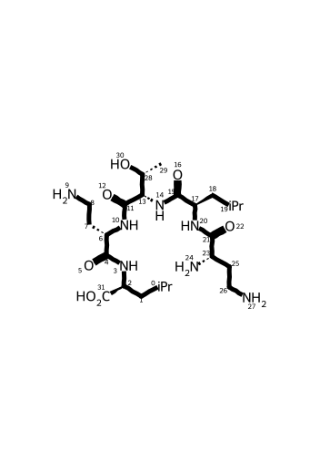 CC(C)C[C@H](NC(=O)[C@H](CCN)NC(=O)[C@@H](NC(=O)[C@@H](CC(C)C)NC(=O)[C@@H](N)CCN)[C@@H](C)O)C(=O)O